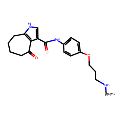 CCCCCNCCCOc1ccc(NC(=O)c2c[nH]c3c2C(=O)CCCC3)cc1